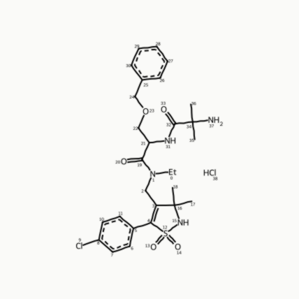 CCN(CC1=C(c2ccc(Cl)cc2)S(=O)(=O)NC1(C)C)C(=O)C(COCc1ccccc1)NC(=O)C(C)(C)N.Cl